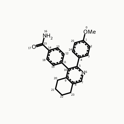 COc1ccc(-c2ncc3c(c2-c2ccc(C(N)=O)cc2)CCCC3)cc1